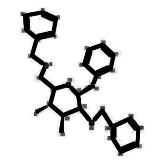 C[C@@H]1C(COCc2ccccc2)O[C@@H](Sc2ccccc2)C(OCc2ccccc2)[C@H]1C